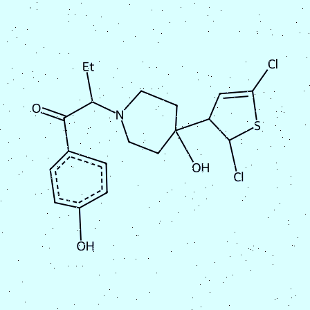 CCC(C(=O)c1ccc(O)cc1)N1CCC(O)(C2C=C(Cl)SC2Cl)CC1